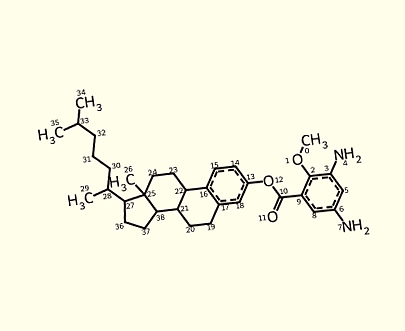 COc1c(N)cc(N)cc1C(=O)Oc1ccc2c(c1)CCC1C2CCC2(C)C(C(C)CCCC(C)C)CCC12